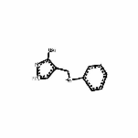 CC(C)(C)c1n[nH]cc1CNc1ccccc1